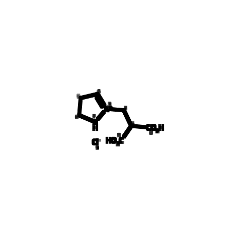 O=C(O)C(C[N+]1=CCCN1)C(=O)O.[Cl-]